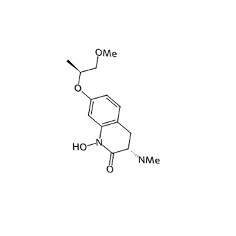 CN[C@H]1Cc2ccc(O[C@@H](C)COC)cc2N(O)C1=O